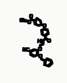 CC(C)(C)OC(=O)N1CCC(Oc2ccc(C(=O)NCCOc3cc(C#N)ccc3OCc3ccccc3)cc2)CC1